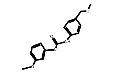 COCc1ccc(NC(=O)Nc2cccc(OC)c2)cc1